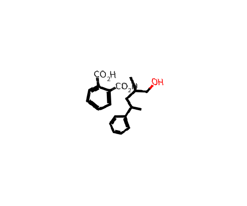 CC(CO)CC(C)c1ccccc1.O=C(O)c1ccccc1C(=O)O